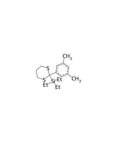 CC[Si](CC)(CC)C1(c2cc(C)cc(C)c2)SCCCS1